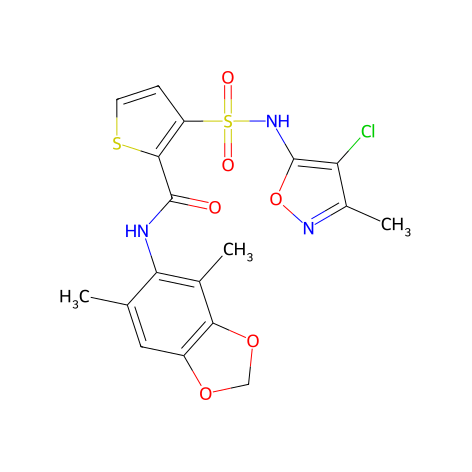 Cc1cc2c(c(C)c1NC(=O)c1sccc1S(=O)(=O)Nc1onc(C)c1Cl)OCO2